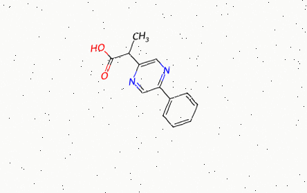 CC(C(=O)O)c1cnc(-c2ccccc2)cn1